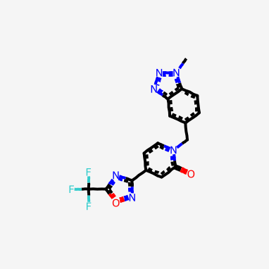 Cn1nnc2cc(Cn3ccc(-c4noc(C(F)(F)F)n4)cc3=O)ccc21